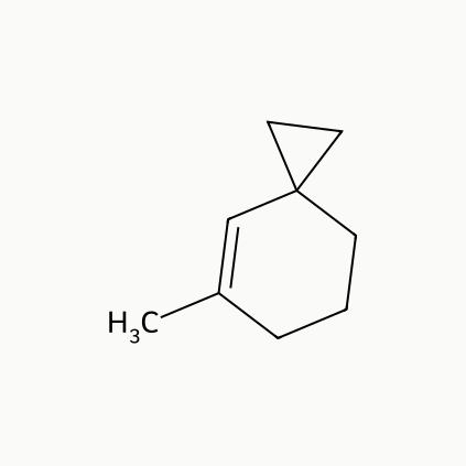 CC1=CC2(CCC1)CC2